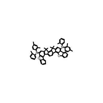 Cc1ccc(N(c2ccccc2C)c2cc3c(c4c2oc2ccccc24)-c2ccc4c(c2C3(C)C)C(C)(C)c2cc(N(c3ccccc3C)c3ccc(C)cc3C)c3c(oc5ccccc53)c2-4)c(C)c1